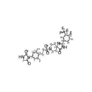 Cc1cc(N2C(=O)CNC2=O)cc(C)c1CCS(=O)(=O)N1CCC2(CC1)N=C(c1ccc(F)c(C(F)(F)F)c1)NC2=O